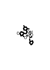 COc1ccc([C@@H](C(=O)N2C(=O)OC[C@H]2Cc2ccccc2)[C@@H](O)c2ccc(C)cc2C)c(C)c1